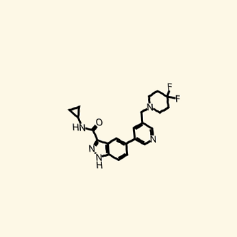 O=C(NC1CC1)c1n[nH]c2ccc(-c3cncc(CN4CCC(F)(F)CC4)c3)cc12